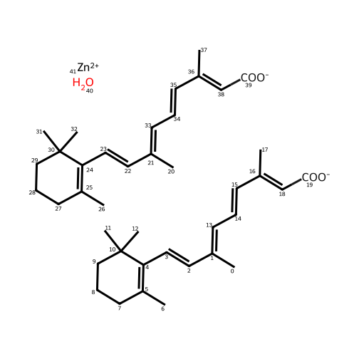 CC(C=CC1=C(C)CCCC1(C)C)=CC=CC(C)=CC(=O)[O-].CC(C=CC1=C(C)CCCC1(C)C)=CC=CC(C)=CC(=O)[O-].O.[Zn+2]